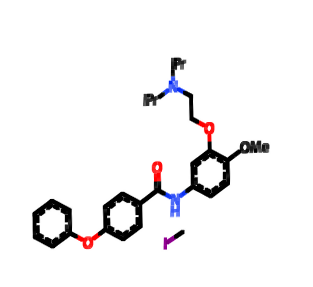 CI.COc1ccc(NC(=O)c2ccc(Oc3ccccc3)cc2)cc1OCCN(C(C)C)C(C)C